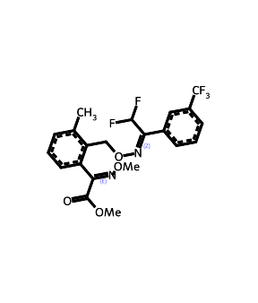 CO/N=C(/C(=O)OC)c1cccc(C)c1CO/N=C(/c1cccc(C(F)(F)F)c1)C(F)F